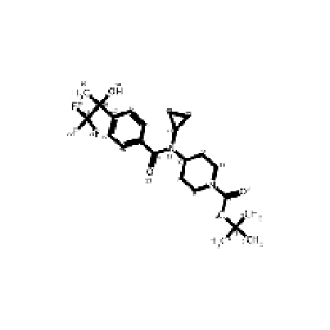 CC(C)(C)OC(=O)N1CCC(N(C(=O)c2ccc(C(C)(O)C(F)(F)F)cc2)C2CC2)CC1